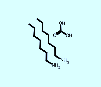 CCCCCCCN.CCCCCCCN.O=C(O)O